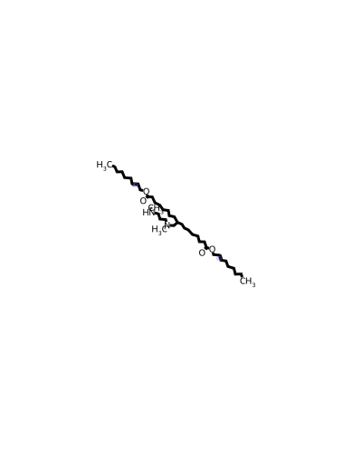 CCCCCC/C=C/COC(=O)CCCCCCCC(CCCCCCCC(=O)OC/C=C/CCCCCC)CN(C)CCCNC